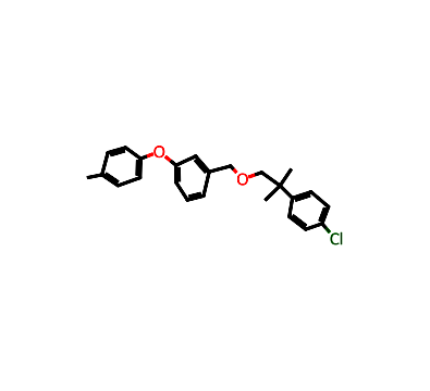 Cc1ccc(Oc2cccc(COCC(C)(C)c3ccc(Cl)cc3)c2)cc1